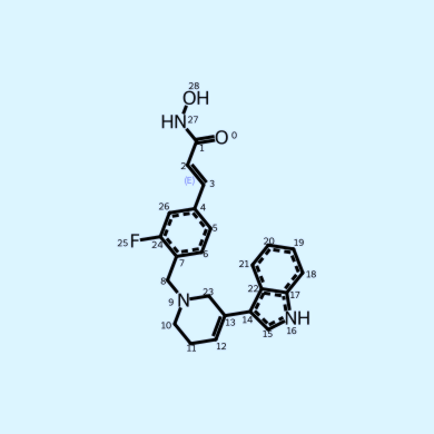 O=C(/C=C/c1ccc(CN2CCC=C(c3c[nH]c4ccccc34)C2)c(F)c1)NO